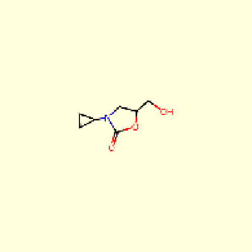 O=C1OC(CO)CN1C1CC1